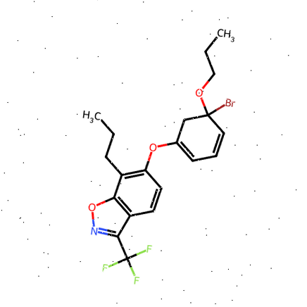 CCCOC1(Br)C=CC=C(Oc2ccc3c(C(F)(F)F)noc3c2CCC)C1